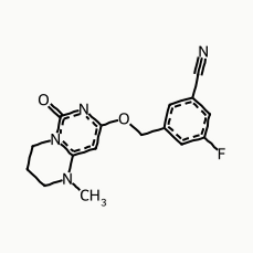 CN1CCCn2c1cc(OCc1cc(F)cc(C#N)c1)nc2=O